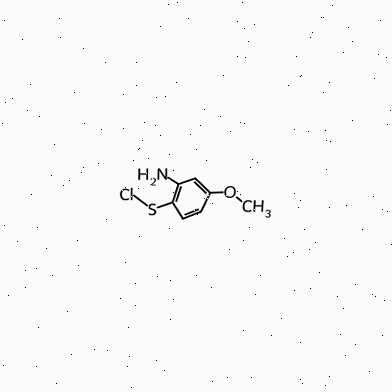 COc1ccc(SCl)c(N)c1